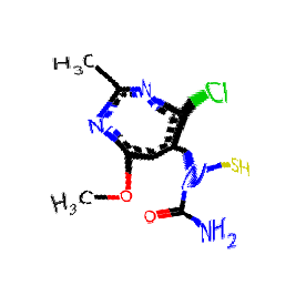 COc1nc(C)nc(Cl)c1N(S)C(N)=O